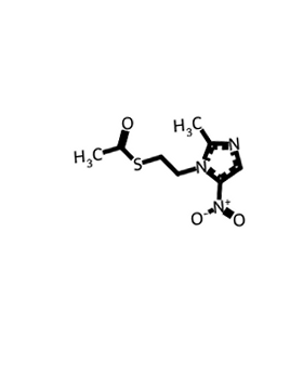 CC(=O)SCCn1c([N+](=O)[O-])cnc1C